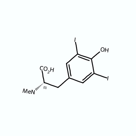 CN[C@@H](Cc1cc(I)c(O)c(I)c1)C(=O)O